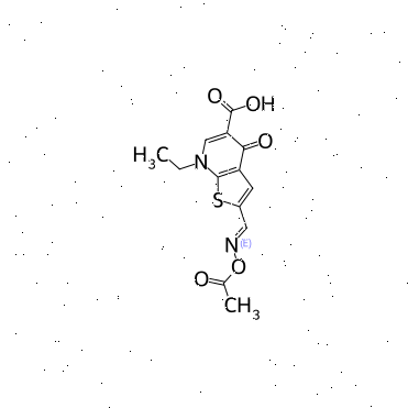 CCn1cc(C(=O)O)c(=O)c2cc(/C=N/OC(C)=O)sc21